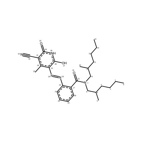 CCCCC(C)CN(CC(C)CCCC)C(=O)c1ccccc1/N=N/c1c(O)[nH]c(=O)c(C#N)c1C